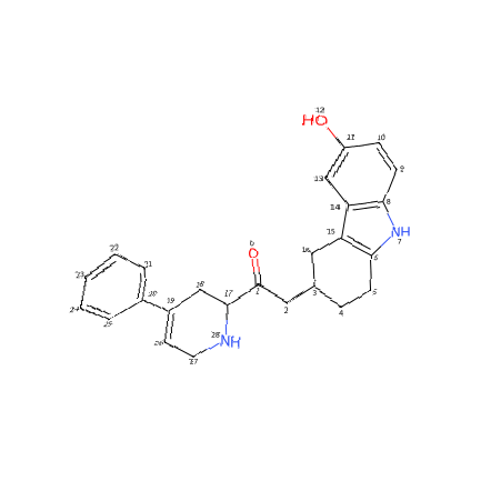 O=C(CC1CCc2[nH]c3ccc(O)cc3c2C1)C1CC(c2ccccc2)=CCN1